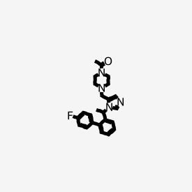 CC(=O)N1CCN(Cc2cncn2C(C)c2ccccc2-c2ccc(F)cc2)CC1